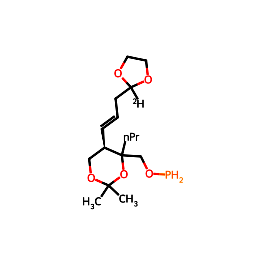 [2H]C1(C/C=C/[C@@H]2COC(C)(C)OC2(CCC)COP)OCCO1